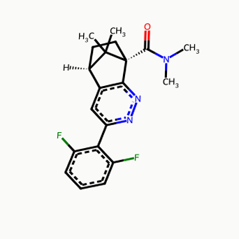 CN(C)C(=O)[C@]12CC[C@H](c3cc(-c4c(F)cccc4F)nnc31)C2(C)C